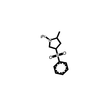 CC(C)N1CC(S(=O)(=O)c2ccccc2)CC1C